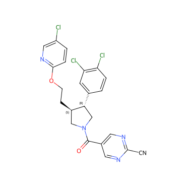 N#Cc1ncc(C(=O)N2C[C@@H](CCOc3ccc(Cl)cn3)[C@H](c3ccc(Cl)c(Cl)c3)C2)cn1